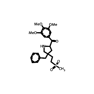 COc1cc(C(=O)C2CC(CCS(C)(=O)=O)(Cc3ccccc3)CN2)cc(OC)c1OC